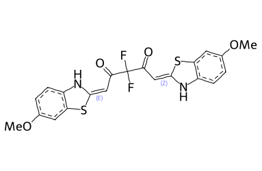 COc1ccc2c(c1)S/C(=C\C(=O)C(F)(F)C(=O)/C=C1\Nc3ccc(OC)cc3S1)N2